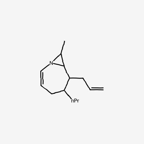 C=CCC1C(CCC)CC=CN2C(C)C12